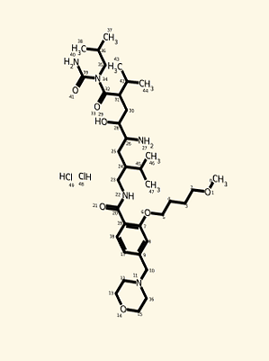 COCCCCOc1cc(CN2CCOCC2)ccc1C(=O)NCC(CC(N)C(O)CC(C(=O)N(CC(C)C)C(N)=O)C(C)C)C(C)C.Cl.Cl